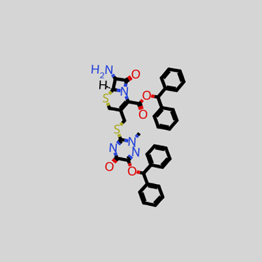 Cn1nc(OC(c2ccccc2)c2ccccc2)c(=O)nc1SCC1=C(C(=O)OC(c2ccccc2)c2ccccc2)N2C(=O)C(N)[C@@H]2SC1